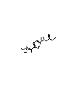 C=C(CC)COc1ccc(/C(C)=N/OC)cc1